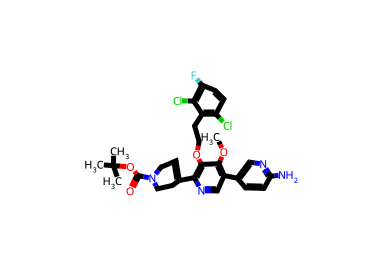 COc1c(-c2ccc(N)nc2)cnc(C2=CCN(C(=O)OC(C)(C)C)CC2)c1OCCc1c(Cl)ccc(F)c1Cl